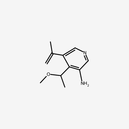 C=C(C)c1cncc(N)c1C(C)OC